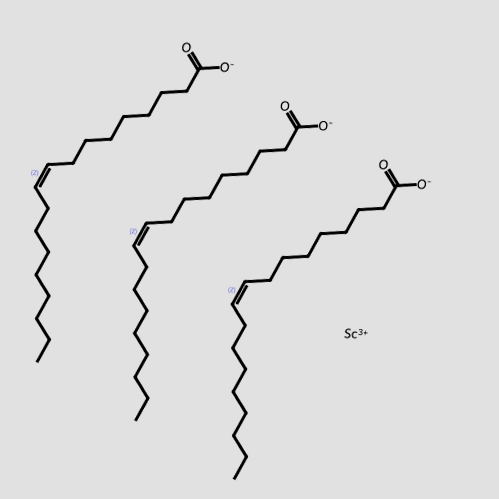 CCCCCCCC/C=C\CCCCCCCC(=O)[O-].CCCCCCCC/C=C\CCCCCCCC(=O)[O-].CCCCCCCC/C=C\CCCCCCCC(=O)[O-].[Sc+3]